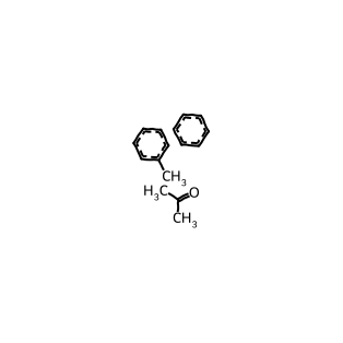 CC(C)=O.Cc1ccccc1.c1ccccc1